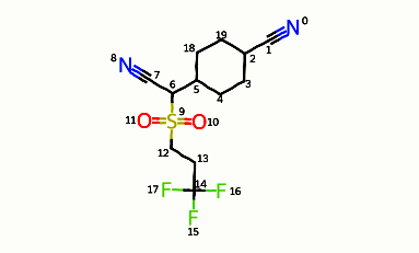 N#CC1CCC(C(C#N)S(=O)(=O)CCC(F)(F)F)CC1